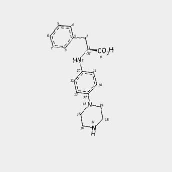 O=C(O)[C@H](Cc1ccccc1)Nc1ccc(N2CCNCC2)cc1